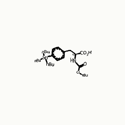 CCC[CH2][Sn]([CH2]CCC)([CH2]CCC)[c]1ccc(C[C@H](NC(=O)OC(C)(C)C)C(=O)O)cc1